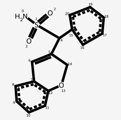 NS(=O)(=O)C(C1=Cc2ccccc2OC1)c1ccccc1